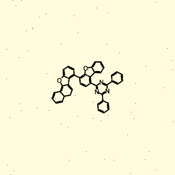 C1=CC2=c3oc4cccc(-c5ccc(-c6nc(-c7ccccc7)nc(-c7ccccc7)n6)c6c5oc5ccccc56)c4c3=CCC2C=C1